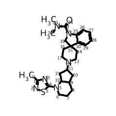 Cc1nsc(N2CCCC3CC(N4CCC5(CC4)CN(C(=O)N(C)C)c4ccccc45)CC32)n1